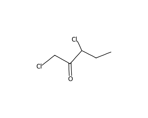 CCC(Cl)C(=O)CCl